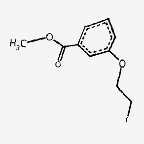 COC(=O)c1cccc(OCCI)c1